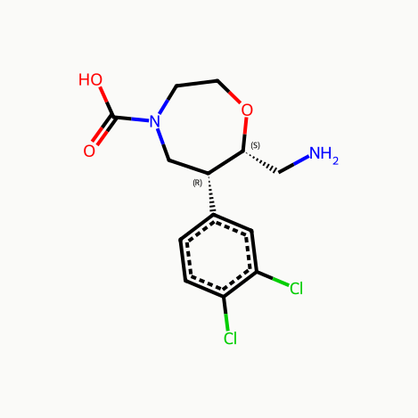 NC[C@H]1OCCN(C(=O)O)C[C@H]1c1ccc(Cl)c(Cl)c1